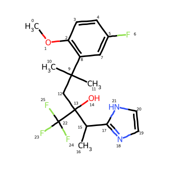 COc1ccc(F)cc1C(C)(C)CC(O)(C(C)c1ncc[nH]1)C(F)(F)F